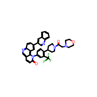 O=C(CN1CCOCC1)N1CCC(c2ccc(-n3c(=O)ccc4cnc5ccc(-c6cnc7ccccc7c6)cc5c43)cc2C(F)(F)F)CC1